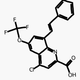 O=C(O)c1cc(Cl)c2cc(OC(F)(F)F)cc(/C=C/c3ccccc3)c2n1